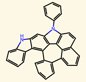 c1ccc(-n2c3cc4[nH]c5ccccc5c4c4c3c3c5c(cccc5ccc32)-c2ccccc2-4)cc1